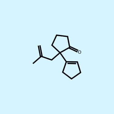 C=C(C)CC1(C2=CCCC2)CCCC1=O